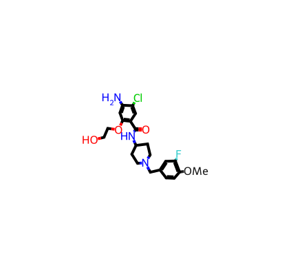 COc1ccc(CN2CCC(NC(=O)c3cc(Cl)c(N)cc3OCCO)CC2)cc1F